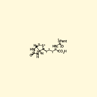 CCCCCC(=O)NC(CCC[C@@H]1SC[C@@H]2NC(=O)N[C@@H]21)C(=O)O